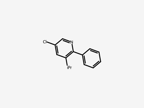 CC(C)c1cc(Cl)cnc1-c1ccccc1